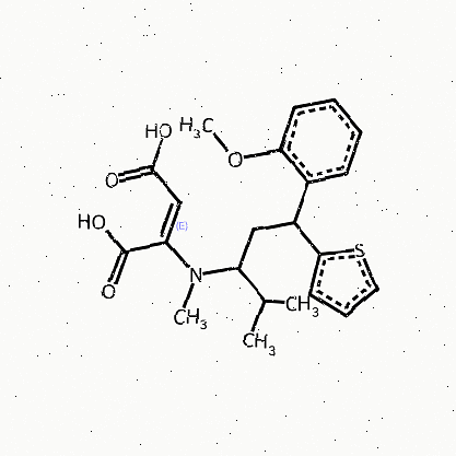 COc1ccccc1C(CC(C(C)C)N(C)/C(=C/C(=O)O)C(=O)O)c1cccs1